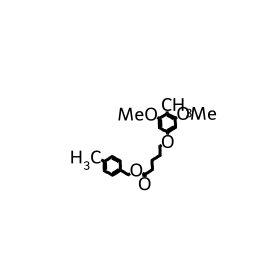 COc1cc(OCCCCC(=O)OCc2ccc(C)cc2)cc(OC)c1C